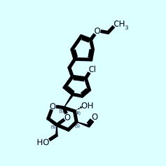 CCOc1ccc(Cc2cc([C@@]34OC[C@@](CO)(C[C@H](C=O)[C@H]3O)O4)ccc2Cl)cc1